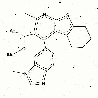 CC(=O)[C@@H](OC(C)(C)C)c1c(C)nc2sc3c(c2c1-c1ccc2ncn(C)c2c1)CCCC3